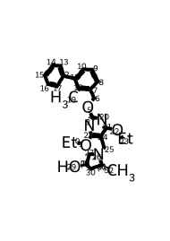 CCOc1nc(OCc2cccc(-c3ccccc3)c2C)nc(OCC)c1CN1C[C@H](O)C[C@H]1C